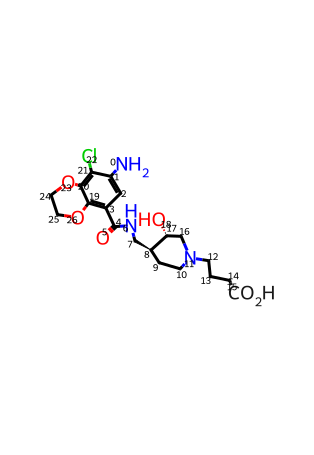 Nc1cc(C(=O)NC[C@@H]2CCN(CCCC(=O)O)C[C@H]2O)c2c(c1Cl)OCCO2